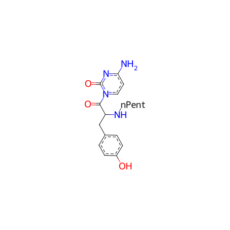 CCCCCNC(Cc1ccc(O)cc1)C(=O)n1ccc(N)nc1=O